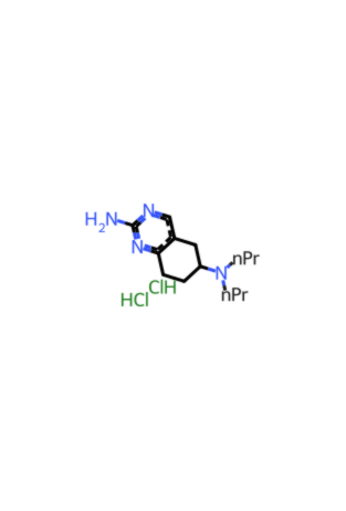 CCCN(CCC)C1CCc2nc(N)ncc2C1.Cl.Cl